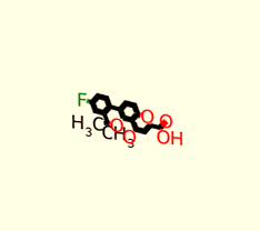 CC1(C)Oc2c(ccc3oc(C(=O)O)cc(=O)c23)-c2ccc(F)cc21